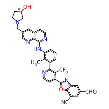 Cc1c(Nc2nccc3cc(CN4CC[C@@H](O)C4)cnc23)cccc1-c1nccc(-c2nc3cc(C=O)cc(C#N)c3o2)c1C(F)(F)F